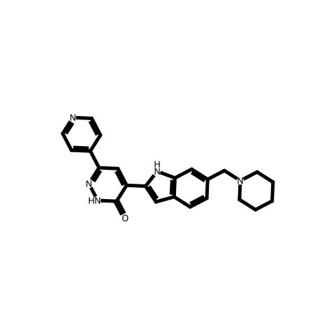 O=c1[nH]nc(-c2ccncc2)cc1-c1cc2ccc(CN3CCCCC3)cc2[nH]1